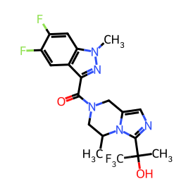 CC1CN(C(=O)c2nn(C)c3cc(F)c(F)cc23)Cc2cnc(C(C)(O)C(F)(F)F)n21